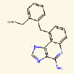 COCc1ccccc1Cc1cccc2nc(N)c3nc[nH]c3c12